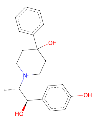 C[C@@H]([C@H](O)c1ccc(O)cc1)N1CCC(O)(c2ccccc2)CC1